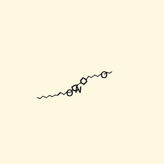 CCCCCCCC=CCCOc1ccc(-c2ccc(CCCCCOCCC)cc2)nc1